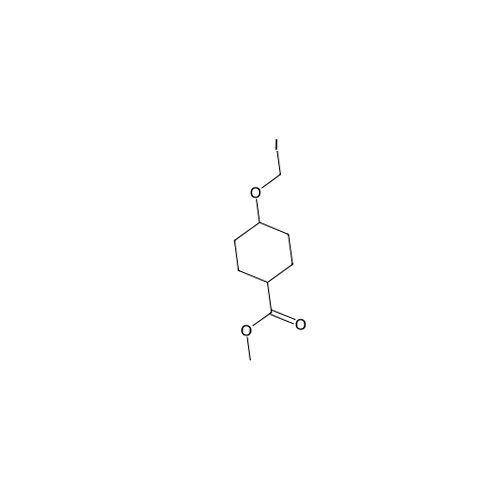 COC(=O)C1CCC(OCI)CC1